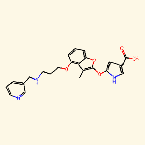 Cc1c(Oc2cc(C(=O)O)c[nH]2)oc2cccc(OCCCNCc3cccnc3)c12